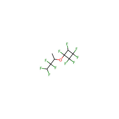 CC(OC1(F)C(F)C(F)(F)C1(F)F)C(F)(F)C(F)F